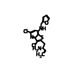 C=C[C@H](N)Cc1sc2c(NCc3ccco3)cc(Cl)nc2c1Cl